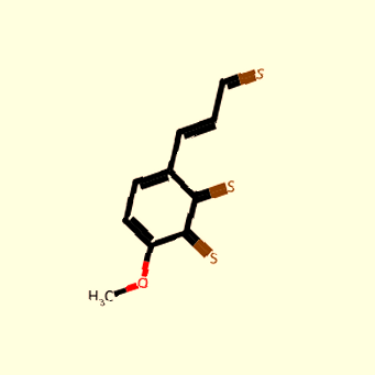 COC1=CC=C(C=CC=S)C(=S)C1=S